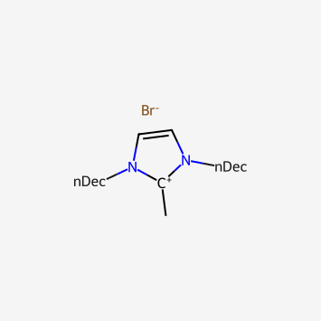 CCCCCCCCCCn1ccn(CCCCCCCCCC)[c+]1C.[Br-]